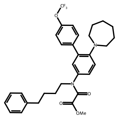 COC(=O)C(=O)N(CCCCc1ccccc1)c1ccc(N2CCCCCC2)c(-c2ccc(OC(F)(F)F)cc2)c1